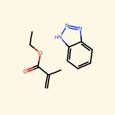 C=C(C)C(=O)OCC.c1ccc2[nH]nnc2c1